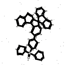 O=P(c1ccccc1)(c1ccccc1)c1ccc(-c2ccc3c(c2)-c2c(ccc4ccccc24)C32c3ccccc3-c3ccccc32)cc1